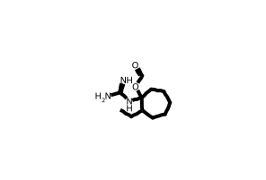 CCC1CCCCCC1(NC(=N)N)OC=O